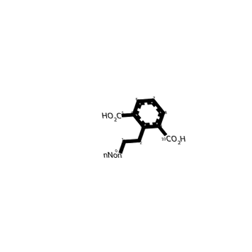 CCCCCCCCCCCc1c(C(=O)O)cccc1C(=O)O